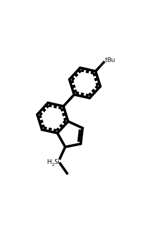 C[SiH2]C1C=Cc2c(-c3ccc(C(C)(C)C)cc3)cccc21